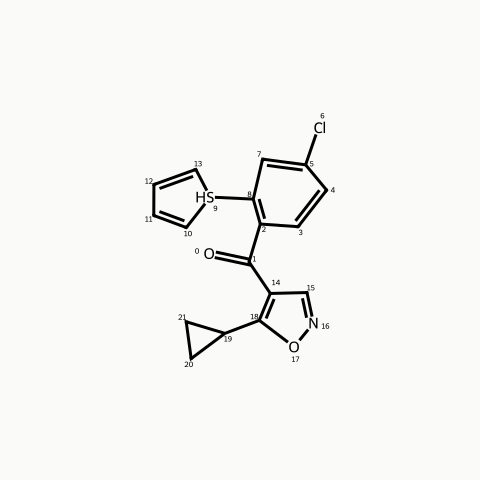 O=C(c1ccc(Cl)cc1[SH]1C=CC=C1)c1cnoc1C1CC1